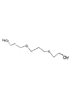 OCCCOCCCOCCO